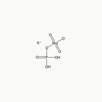 O=P(O)(O)[O][Mo](=[O])(=[O])[O-].[K+]